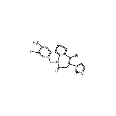 Cc1ccc(CN2C(=O)CC(c3ccon3)=C(Br)c3ccccc32)cc1F